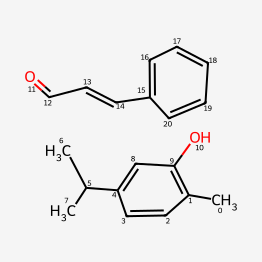 Cc1ccc(C(C)C)cc1O.O=CC=Cc1ccccc1